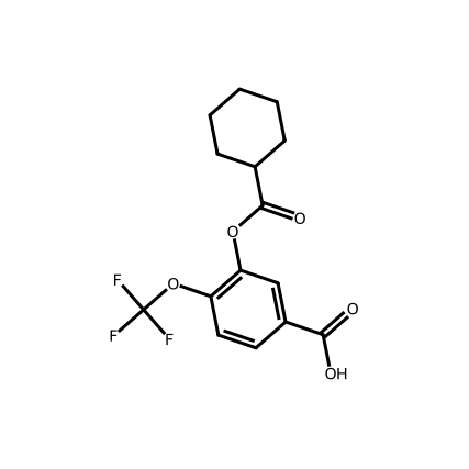 O=C(O)c1ccc(OC(F)(F)F)c(OC(=O)C2CCCCC2)c1